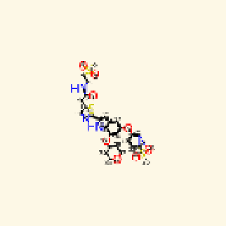 CS(=O)(=O)CCNC(=O)CC1CN=C(c2cc3cc(Oc4ccc(S(C)(=O)=O)nc4)cc(OC4CCOCC4)c3[nH]2)S1